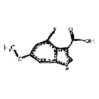 COc1cc(F)c2c(C(=O)O)c[nH]c2c1